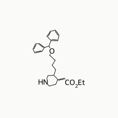 CCOC(=O)C=C1CCNCC1CCCCOC(c1ccccc1)c1ccccc1